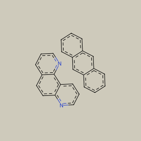 c1ccc2cc3ccccc3cc2c1.c1cnc2c(c1)ccc1ncccc12